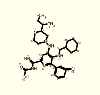 CCC(C)C1CN(Nc2nc(C(=N)NC(=O)O)nc(-c3cccc(Cl)c3)c2NCC2CCCCC2)CCO1